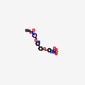 CC(C)(C)OC(=O)N1CCC(COc2ccc(-c3cccc(OCc4ccc(C(=O)NS(C)(=O)=O)cc4)c3)cn2)CC1